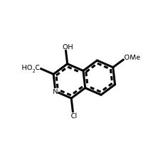 COc1ccc2c(Cl)nc(C(=O)O)c(O)c2c1